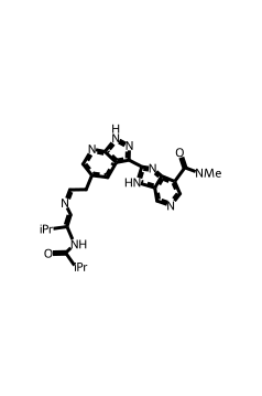 CNC(=O)c1cncc2[nH]c(-c3n[nH]c4ncc(C/C=N\C=C(\NC(=O)C(C)C)C(C)C)cc34)nc12